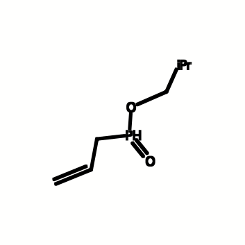 C=CC[PH](=O)OCC(C)C